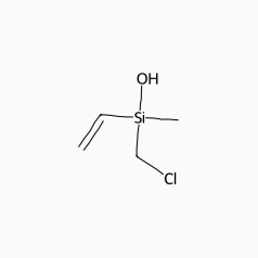 C=C[Si](C)(O)CCl